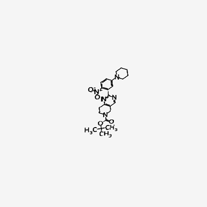 CC(C)(C)OC(=O)N1CCc2nc(-c3cc(N4CCCCC4)ccc3[N+](=O)[O-])ncc2C1